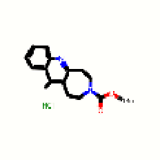 Cc1c2c(nc3ccccc13)CCN(C(=O)OC(C)(C)C)CC2.Cl